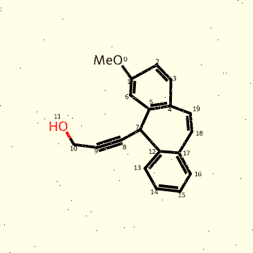 COc1ccc2c(c1)C(C#CCO)c1ccccc1C=C2